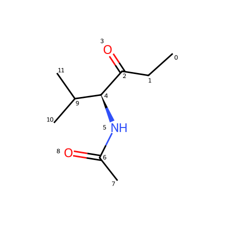 CCC(=O)[C@@H](NC(C)=O)C(C)C